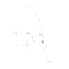 CCCCCCCCCCCCCCCCCCCCCCO.O=C(O)CC(O)(CC(=O)O)C(=O)O